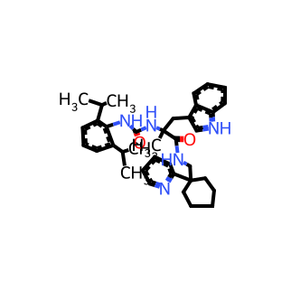 CC(C)c1cccc(C(C)C)c1NC(=O)NC(C)(Cc1c[nH]c2ccccc12)C(=O)NCC1(c2ccccn2)CCCCC1